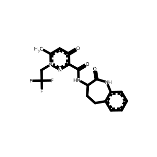 Cc1cc(=O)c(C(=O)NC2CCc3ccccc3NC2=O)nn1CC(F)(F)F